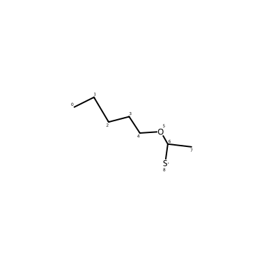 CCCCCOC(C)[S]